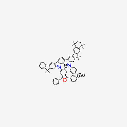 CC(C)(C)c1ccc(N2B3c4cc5c(-c6ccccc6)oc(-c6ccccc6)c5cc4-n4c5cc6c(cc5c5ccc(c3c54)-c3cc4c(cc32)C(C)(C)c2cc3c(cc2-4)C(C)(C)CCC3(C)C)-c2ccccc2C6(C)C)cc1